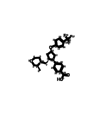 C[C@H]1COCCN1C[C@@H]1C[C@@H](Oc2ccc(C(F)(F)F)cc2)CN1c1ccc(C(=O)O)cc1